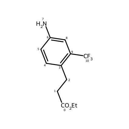 CCOC(=O)CCc1ccc(N)cc1C(F)(F)F